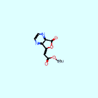 CC(C)(C)OC(=O)C=C1OC(=O)c2nccnc21